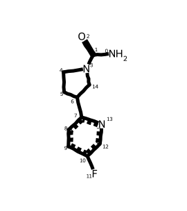 NC(=O)N1CCC(c2ccc(F)cn2)C1